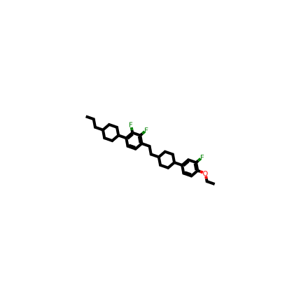 CCCC1CCC(c2ccc(CCC3CCC(c4ccc(OCC)c(F)c4)CC3)c(F)c2F)CC1